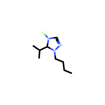 CCCCN1N=CN(F)C1C(C)C